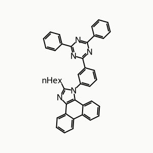 CCCCCCc1nc2c3ccccc3c3ccccc3c2n1-c1cccc(-c2nc(-c3ccccc3)nc(-c3ccccc3)n2)c1